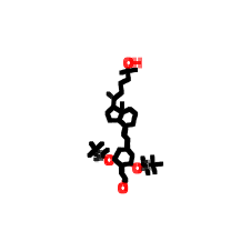 C[C@@H](CCCC(C)(C)O)C1CCC2/C(=C/C=C3C[C@@H](O[Si](C)(C)C(C)(C)C)C(=CC=O)[C@H](O[Si](C)(C)C(C)(C)C)C3)CCCC21C